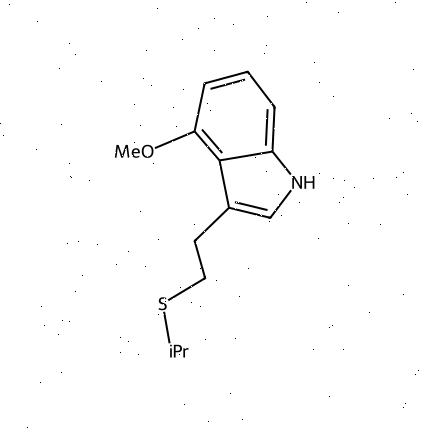 COc1cccc2[nH]cc(CCSC(C)C)c12